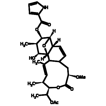 CO[C@H]1CC2C=C[C@H]3[C@H]4O[C@]2(/C(C)=C/[C@@H](C)[C@@H](C(C)OC(C)=O)OC1=O)[C@@H]3[C@H](O)[C@@H](C)[C@H]4OC(=O)c1ccc[nH]1